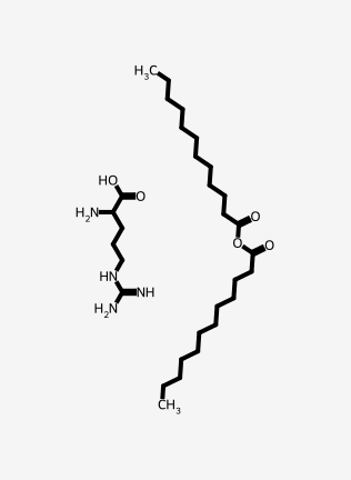 CCCCCCCCCCCC(=O)OC(=O)CCCCCCCCCCC.N=C(N)NCCCC(N)C(=O)O